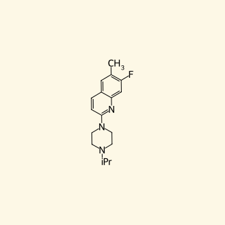 Cc1cc2ccc(N3CCN(C(C)C)CC3)nc2cc1F